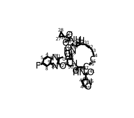 Cc1nc2ccc(F)cc2nc1O[C@@H]1C[C@H]2C(=O)N[C@]3(C(=O)NS(=O)(=O)C4CC4)C[C@H]3/C=C\CCCCC[C@H](NC(=O)c3ccon3)C(=O)N2C1